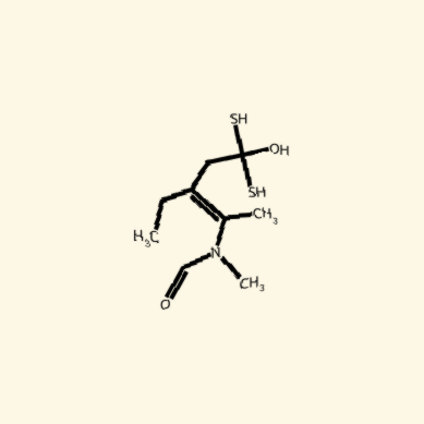 CCC(CC(O)(S)S)=C(C)N(C)C=O